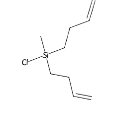 C=CCC[Si](C)(Cl)CCC=C